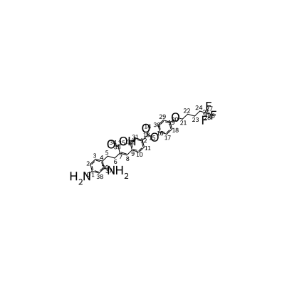 Nc1ccc(CCC(=Cc2ccc(C(=O)Oc3ccc(OCCCCC(F)(F)F)cc3)cc2)C(=O)O)c(N)c1